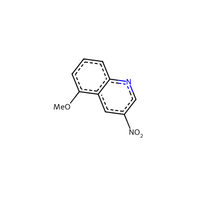 COc1cccc2ncc([N+](=O)[O-])cc12